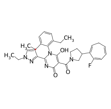 CCc1cccc(CC)c1-n1c(-c2ccn(CC)n2)nc(=O)c(C(=O)N2CCC(C3=CCC=CC=C3F)C2)c1O